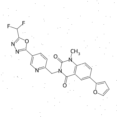 Cn1c(=O)n(Cc2ccc(-c3nnc(C(F)F)o3)cn2)c(=O)c2cc(-c3ccco3)ccc21